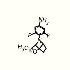 C[C@H]1OC23CCC2N(c2c(F)cc(N)cc2F)C13